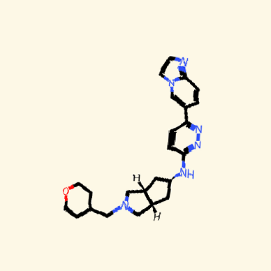 c1cn2cc(-c3ccc(N[C@H]4C[C@@H]5CN(CC6CCOCC6)C[C@@H]5C4)nn3)ccc2n1